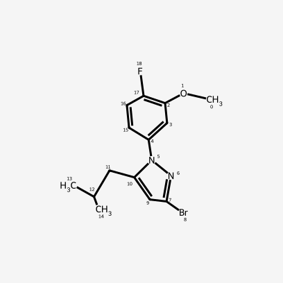 COc1cc(-n2nc(Br)cc2CC(C)C)ccc1F